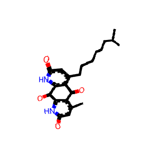 Cc1cc(=O)[nH]c2c1C(=O)c1c(CCCCCCC(C)C)cc(=O)[nH]c1C2=O